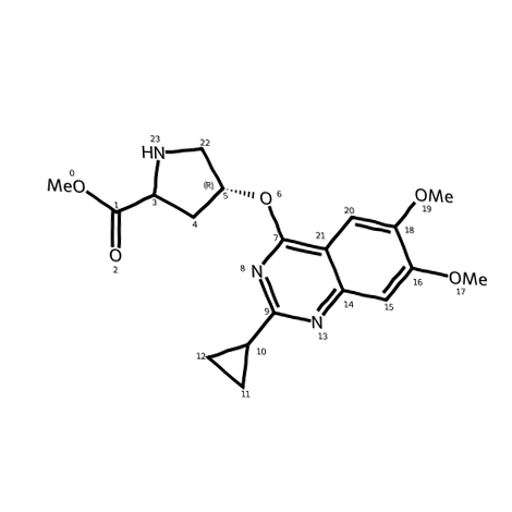 COC(=O)C1C[C@@H](Oc2nc(C3CC3)nc3cc(OC)c(OC)cc23)CN1